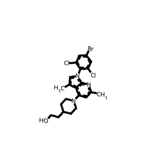 Cc1cc(N2CCC(CCO)CC2)c2c(C)cn(-c3c(Cl)cc(Br)cc3Cl)c2n1